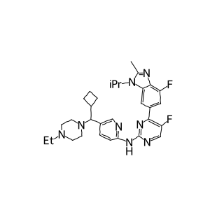 CCN1CCN(C(c2ccc(Nc3ncc(F)c(-c4cc(F)c5nc(C)n(C(C)C)c5c4)n3)nc2)C2CCC2)CC1